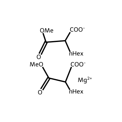 CCCCCCC(C(=O)[O-])C(=O)OC.CCCCCCC(C(=O)[O-])C(=O)OC.[Mg+2]